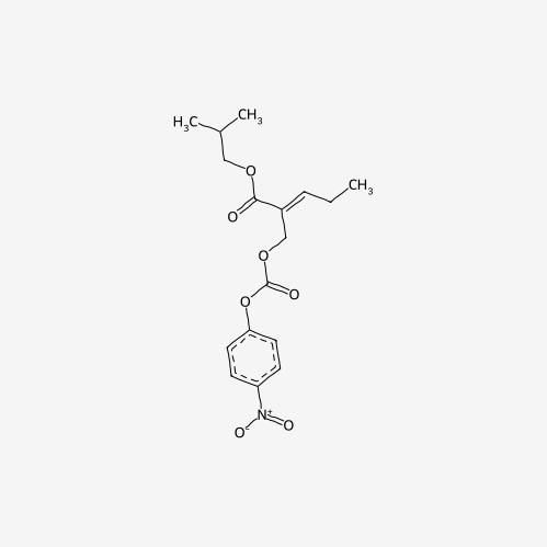 CC/C=C(\COC(=O)Oc1ccc([N+](=O)[O-])cc1)C(=O)OCC(C)C